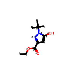 CCOC(=O)c1cc(O)n(C(C)(C)C)n1